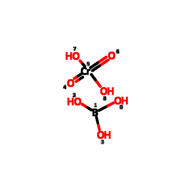 OB(O)O.[O]=[Cr](=[O])([OH])[OH]